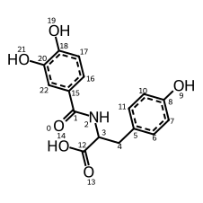 O=C(NC(Cc1ccc(O)cc1)C(=O)O)c1ccc(O)c(O)c1